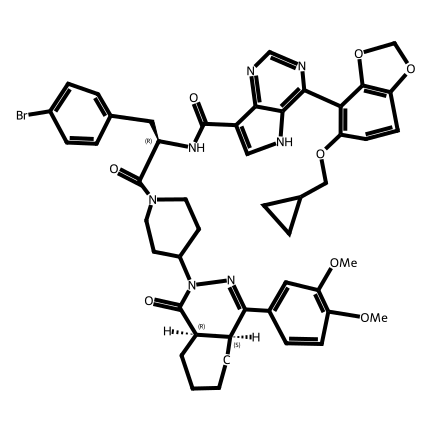 COc1ccc(C2=NN(C3CCN(C(=O)[C@@H](Cc4ccc(Br)cc4)NC(=O)c4c[nH]c5c(-c6c(OCC7CC7)ccc7c6OCO7)ncnc45)CC3)C(=O)[C@@H]3CCCC[C@H]23)cc1OC